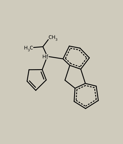 C[CH](C)[Hf]([C]1=CC=CC1)[c]1cccc2c1Cc1ccccc1-2